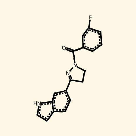 O=C(c1cccc(F)c1)N1CCC(c2ccc3cc[nH]c3c2)=N1